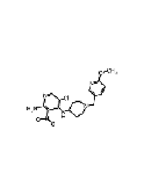 COc1ccc(CN2CCC(Nc3c(Cl)cnc(N)c3[N+](=O)[O-])CC2)cn1